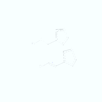 CC/C=C/c1ccsc1.CCCSCc1ccsc1